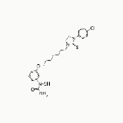 NC(=O)N(S)c1cccc(OCCCCCCCN2CCN(c3ccc(Cl)cc3)C2=S)c1